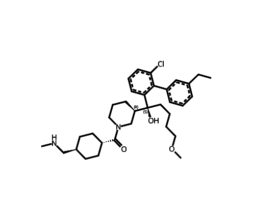 CCc1cccc(-c2c(Cl)cccc2[C@](O)(CCCCOC)[C@@H]2CCCN(C(=O)[C@H]3CC[C@H](CNC)CC3)C2)c1